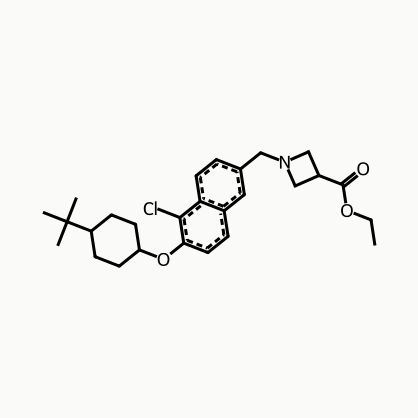 CCOC(=O)C1CN(Cc2ccc3c(Cl)c(OC4CCC(C(C)(C)C)CC4)ccc3c2)C1